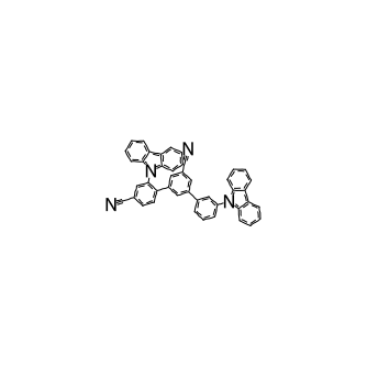 N#Cc1cc(-c2cccc(-n3c4ccccc4c4ccccc43)c2)cc(-c2ccc(C#N)cc2-n2c3ccccc3c3ccccc32)c1